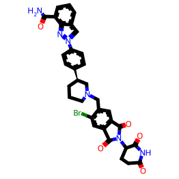 NC(=O)c1cccc2cn(-c3ccc([C@@H]4CCCN(Cc5cc6c(cc5Br)C(=O)N(C5CCC(=O)NC5=O)C6=O)C4)cc3)nc12